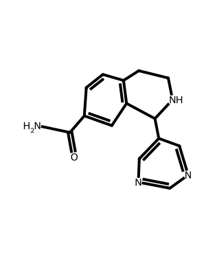 NC(=O)c1ccc2c(c1)C(c1cncnc1)NCC2